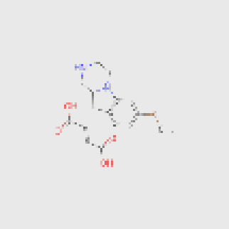 CSc1ccc2c(c1)N1CCNCC1C2.O=C(O)/C=C/C(=O)O